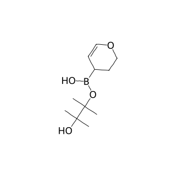 CC(C)(O)C(C)(C)OB(O)C1C=COCC1